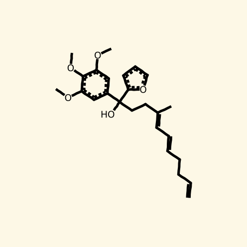 C=CCCC=CC=C(C)CCC(O)(c1cc(OC)c(OC)c(OC)c1)c1ccco1